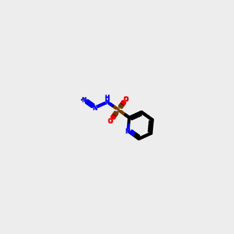 [N]=NNS(=O)(=O)c1ccccn1